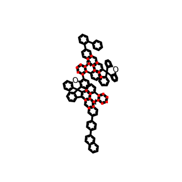 c1ccc(-c2ccccc2-c2ccc(N(c3ccc4c(c3)-c3ccccc3C43c4ccccc4Oc4ccccc43)c3ccccc3-c3ccccc3-c3ccccc3-c3cccc(-c4cccc5c4Oc4ccccc4C54c5ccccc5-c5cc(N(c6ccc(-c7ccc(-c8ccc9ccccc9c8)cc7)cc6)c6ccccc6-c6ccccc6-c6ccccc6-c6ccccc6)ccc54)c3)cc2)cc1